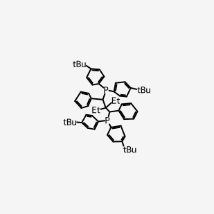 CCC(CC)(C(c1ccccc1)P(c1ccc(C(C)(C)C)cc1)c1ccc(C(C)(C)C)cc1)C(c1ccccc1)P(c1ccc(C(C)(C)C)cc1)c1ccc(C(C)(C)C)cc1